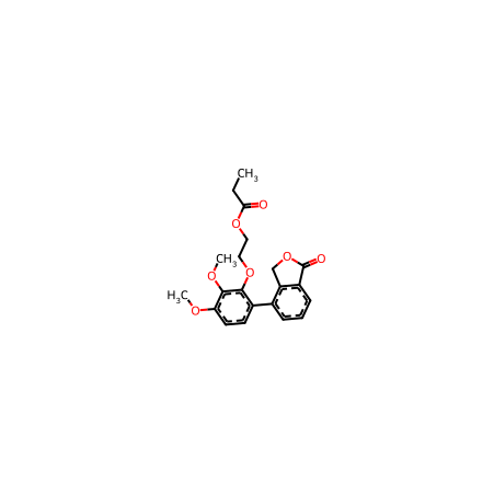 CCC(=O)OCCOc1c(-c2cccc3c2COC3=O)ccc(OC)c1OC